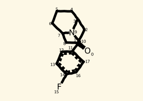 O=C1CC2CCCC(C1)N2Cc1ccc(F)cc1